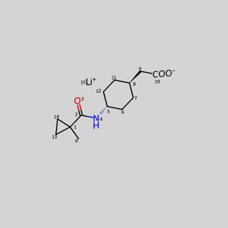 CC1(C(=O)N[C@H]2CC[C@H](CC(=O)[O-])CC2)CC1.[Li+]